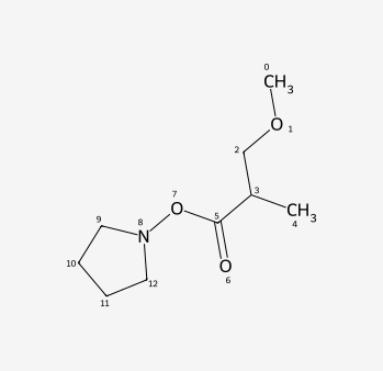 COCC(C)C(=O)ON1CCCC1